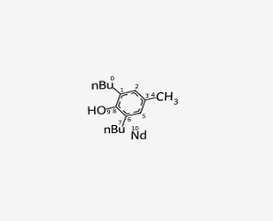 CCCCc1cc(C)cc(CCCC)c1O.[Nd]